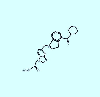 COC(=O)C[C@@H]1COc2cc(O[C@@H]3CCc4c(C(=O)C5CCOCC5)cccc43)ccc21